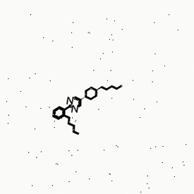 CCCCCc1ccccc1-c1ncc([C@H]2CC[C@H](CCCCC)CC2)cn1